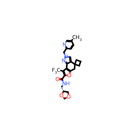 Cc1ccc(Cn2cc3c(n2)-c2c(oc(C(=O)NC[C@@H]4COCO4)c2C(F)(F)F)CC32CCC2)nc1